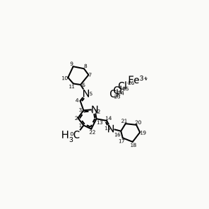 Cc1cc(C=NC2CCCCC2)nc(C=NC2CCCCC2)c1.[Cl-].[Cl-].[Cl-].[Fe+3]